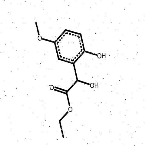 CCOC(=O)C(O)c1cc(OC)ccc1O